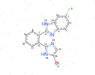 Fc1ccc2nc(-c3ccccc3-c3ncc(Br)[nH]3)[nH]c2c1